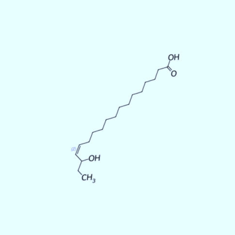 CCC(O)/C=C\CCCCCCCCCCCCC(=O)O